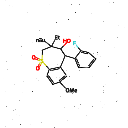 CCCCC1(CC)CS(=O)(=O)c2ccc(OC)cc2C(c2ccccc2F)C1O